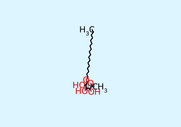 CCCCCCCCCCCCCCCCCCOC1O[C@@H](C)C(O)[C@@H](O)[C@H]1O